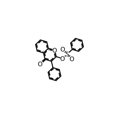 O=c1c(-c2ccccc2)c(OS(=O)(=O)c2ccccc2)oc2ccccc12